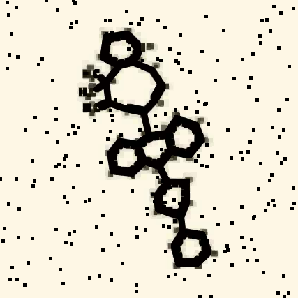 C=C1/C=C(c2c3ccccc3c(-c3ccc(-c4ccccc4)cc3)c3ccccc23)\C=C/Cc2ncccc2C1(C)C